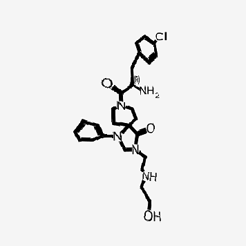 N[C@H](Cc1ccc(Cl)cc1)C(=O)N1CCC2(CC1)C(=O)N(CCNCCO)CN2c1ccccc1